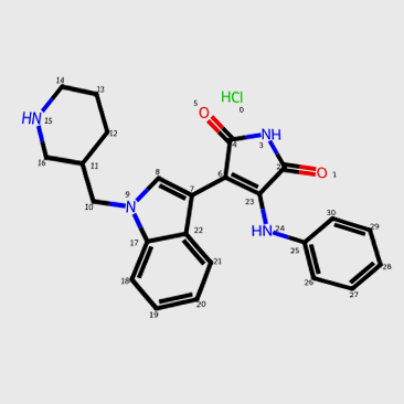 Cl.O=C1NC(=O)C(c2cn(CC3CCCNC3)c3ccccc23)=C1Nc1ccccc1